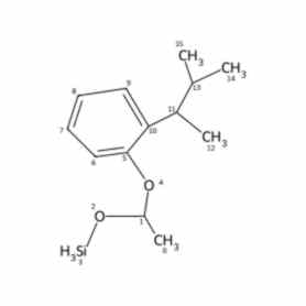 CC(O[SiH3])Oc1ccccc1C(C)C(C)C